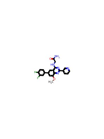 COc1cc(-c2ccc(F)c(F)c2)cc2c(NCC(N)=O)nc(-c3cccnc3)nc12